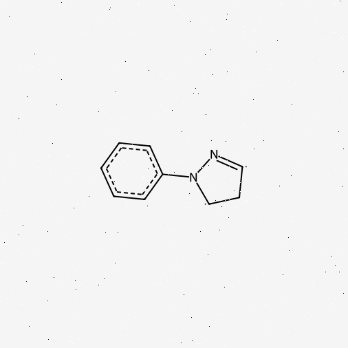 [C]1=NN(c2ccccc2)[CH]C1